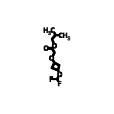 CC(C)COC(=O)COC1CC(OC(F)F)C1